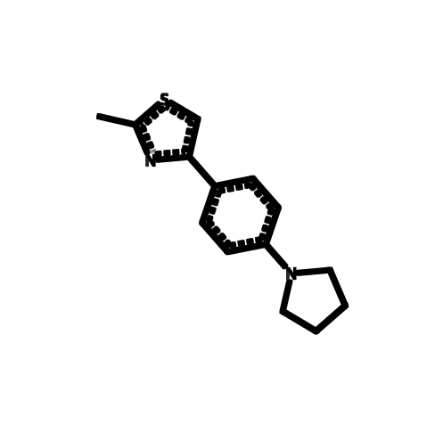 Cc1nc(-c2ccc(N3CCCC3)cc2)cs1